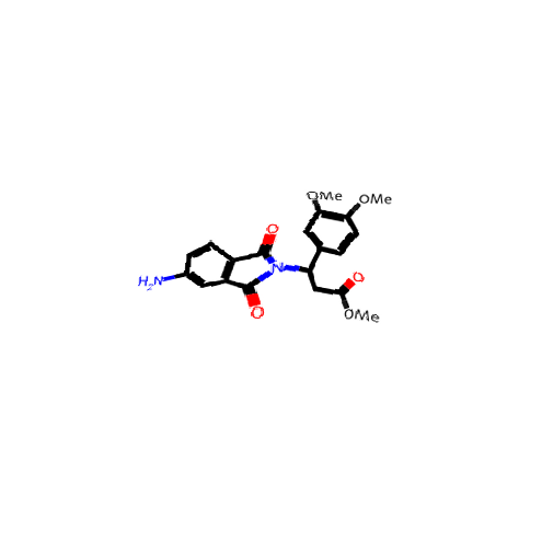 COC(=O)CC(c1ccc(OC)c(OC)c1)N1C(=O)c2ccc(N)cc2C1=O